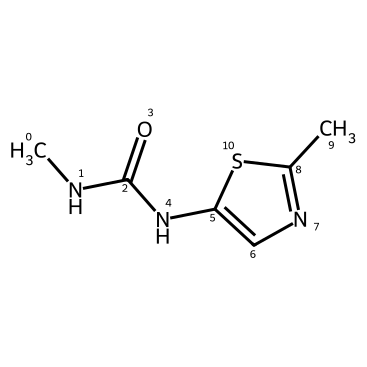 CNC(=O)Nc1cnc(C)s1